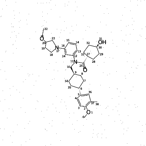 COc1ccc([C@H]2CC[C@H](CN(c3cccc(N4CCC(OC)C4)c3)C(=O)[C@H]3CC[C@H](O)CC3)CC2)cc1C